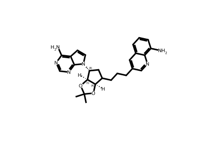 CC1(C)O[C@@H]2[C@H](O1)C(CCCc1cnc3c(N)cccc3c1)C[C@H]2n1ccc2c(N)ncnc21